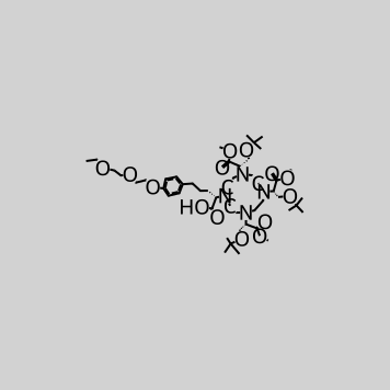 CCOCCOCCOc1ccc(CCC[C@@H](C(=O)O)N2CCN([C@@H](COC(C)(C)C)C(=O)OC)CCN([C@@H](COC(C)(C)C)C(=O)OC)CCN([C@@H](COC(C)(C)C)C(=O)OC)CC2)cc1